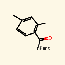 CCCCCC(=O)c1ccc(C)cc1C